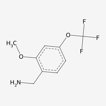 COc1cc(OC(F)(F)F)ccc1CN